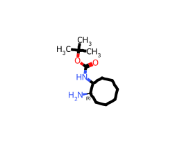 CC(C)(C)OC(=O)NC1CCCCCC[C@H]1N